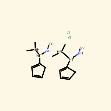 CCC(C)[NH][Hf+]([C]1=CC=CC1)[SiH](C)C.CCC(C)[NH][Hf+]([C]1=CC=CC1)[SiH](C)C.[Cl-].[Cl-]